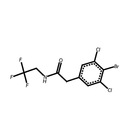 O=C([CH]c1cc(Cl)c(Br)c(Cl)c1)NCC(F)(F)F